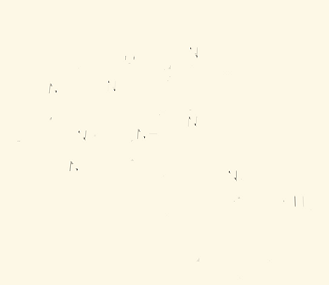 Cc1cccc2cc(CNc3ncnc4ccnn34)c(N3CCNC(=O)C3)nc12